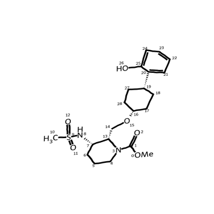 COC(=O)N1CCC[C@H](NS(C)(=O)=O)[C@@H]1CO[C@H]1CC[C@@H](c2ccccc2O)CC1